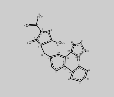 CCCCCCCCc1nn(C(=O)CCC)c(=O)n1Cc1ccc(-c2ccccc2)c(-c2nnn[nH]2)c1